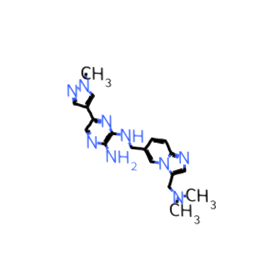 CN(C)Cc1cnc2ccc(CNc3nc(-c4cnn(C)c4)cnc3N)cn12